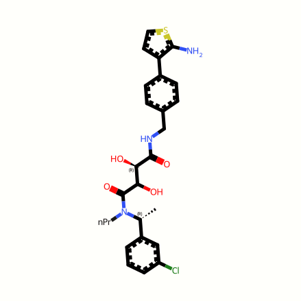 CCCN(C(=O)C(O)[C@@H](O)C(=O)NCc1ccc(-c2ccsc2N)cc1)[C@H](C)c1cccc(Cl)c1